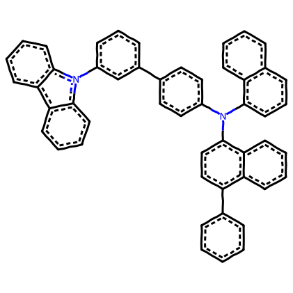 c1ccc(-c2ccc(N(c3ccc(-c4cccc(-n5c6ccccc6c6ccccc65)c4)cc3)c3cccc4ccccc34)c3ccccc23)cc1